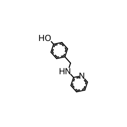 Oc1ccc(CNc2ccccn2)cc1